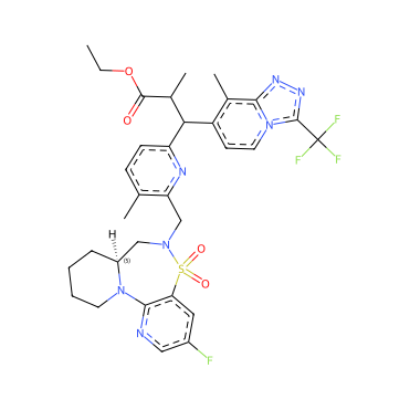 CCOC(=O)C(C)C(c1ccc(C)c(CN2C[C@@H]3CCCCN3c3ncc(F)cc3S2(=O)=O)n1)c1ccn2c(C(F)(F)F)nnc2c1C